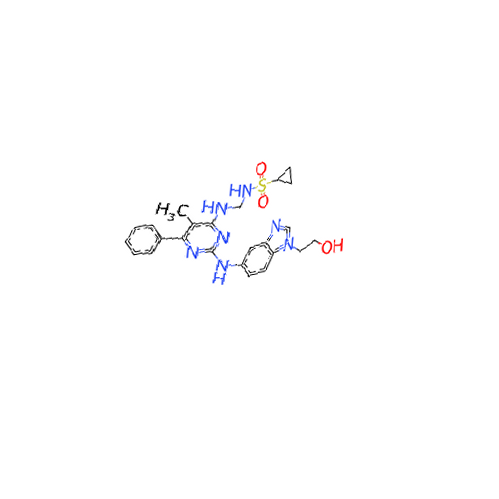 Cc1c(NCNS(=O)(=O)C2CC2)nc(Nc2ccc3c(c2)ncn3CCO)nc1-c1ccccc1